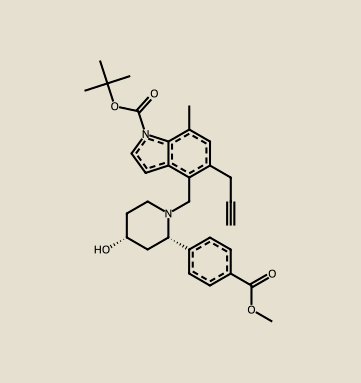 C#CCc1cc(C)c2c(ccn2C(=O)OC(C)(C)C)c1CN1CC[C@@H](O)C[C@H]1c1ccc(C(=O)OC)cc1